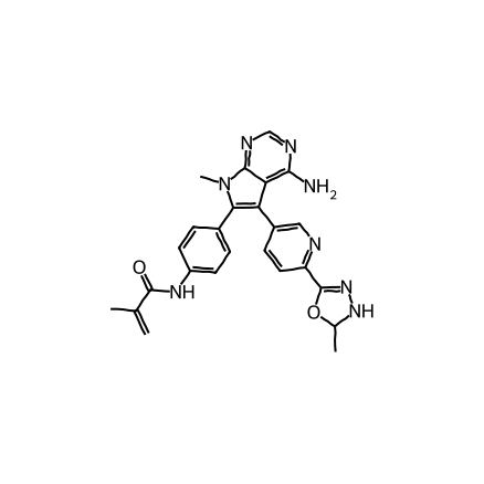 C=C(C)C(=O)Nc1ccc(-c2c(-c3ccc(C4=NNC(C)O4)nc3)c3c(N)ncnc3n2C)cc1